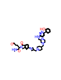 CNC(=O)C(CCC=O)N1Cc2cc(N3CC(CN4CCC(CN5CCN6c7cc(-c8ccccc8O)nnc7NCC6C5)CC4)C3)ccc2C1=O